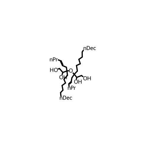 CCCC=CCC(CCCCCCCCCCCCCCCC)(OC(CC=CCCC)(CCCCCCCCCCCCCCCC)C(O)CO)C(O)CO